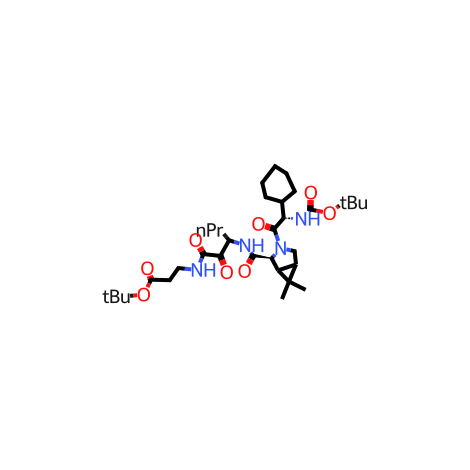 CCCC(NC(=O)[C@@H]1C2C(CN1C(=O)[C@@H](NC(=O)OC(C)(C)C)C1CCCCC1)C2(C)C)C(=O)C(=O)NCCC(=O)OC(C)(C)C